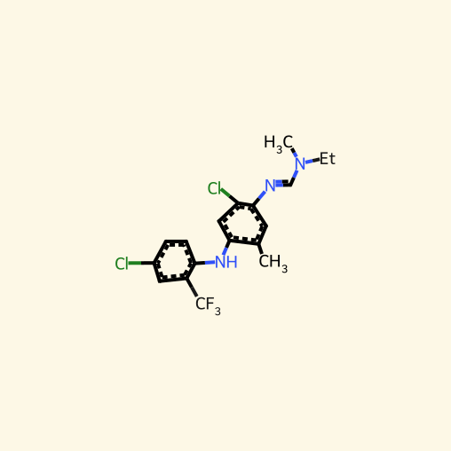 CCN(C)C=Nc1cc(C)c(Nc2ccc(Cl)cc2C(F)(F)F)cc1Cl